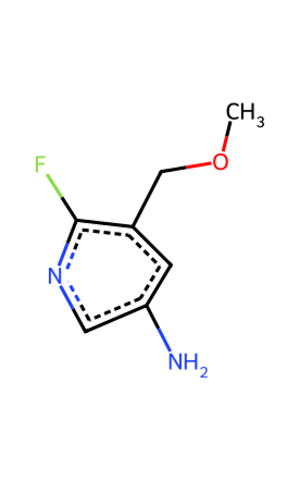 COCc1cc(N)cnc1F